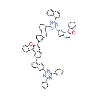 c1ccc(-c2nc(-c3ccccc3)nc(-c3ccc4c(-c5ccc6cc(-c7ccc8c(ccc9c(-c%10nc(-c%11ccc%12ccc%13oc%14ccccc%14c%13c%12c%11)nc(-c%11cccc%12ccccc%11%12)n%10)cccc98)c7)c7oc8ccccc8c7c6c5)cccc4c3)n2)cc1